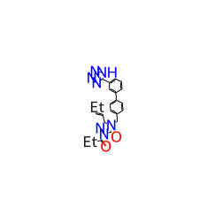 CCC=Cc1nn(C(=O)CC)c(=O)n1Cc1ccc(-c2cccc(-c3nnn[nH]3)c2)cc1